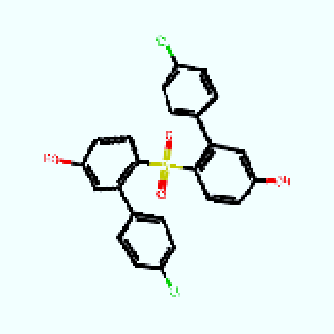 O=S(=O)(c1ccc(O)cc1-c1ccc(Cl)cc1)c1ccc(O)cc1-c1ccc(Cl)cc1